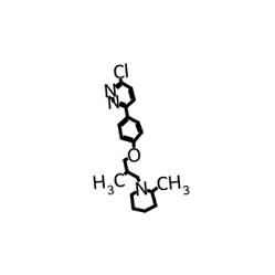 CC(COc1ccc(-c2ccc(Cl)nn2)cc1)CN1CCCCC1C